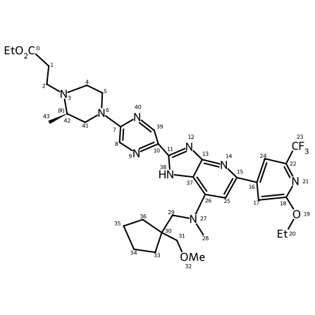 CCOC(=O)CCN1CCN(c2cnc(-c3nc4nc(-c5cc(OCC)nc(C(F)(F)F)c5)cc(N(C)CC5(COC)CCCC5)c4[nH]3)cn2)C[C@H]1C